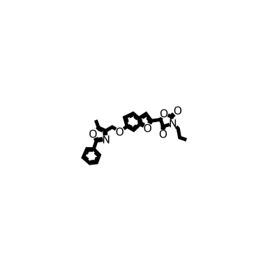 CCCN1C(=O)OC(c2cc3ccc(OCc4nc(-c5ccccc5)oc4C)cc3o2)C1=O